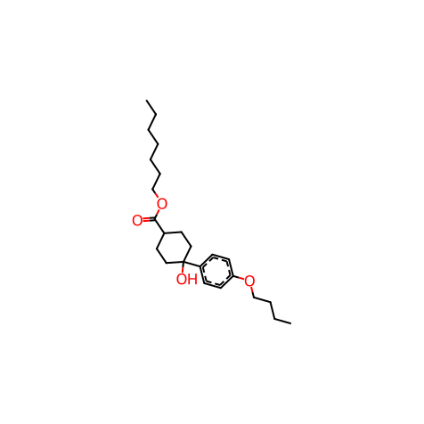 CCCCCCCOC(=O)C1CCC(O)(c2ccc(OCCCC)cc2)CC1